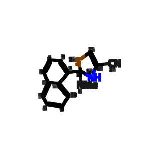 CNC1(c2cccc3ccccc23)NC(C#N)=CS1